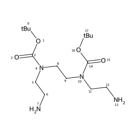 CC(C)(C)OC(=O)N(CCN)CCN(CCN)C(=O)OC(C)(C)C